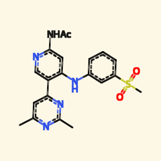 CC(=O)Nc1cc(Nc2cccc(S(C)(=O)=O)c2)c(-c2cc(C)nc(C)n2)cn1